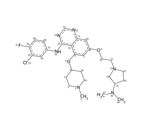 CN1CCC(Oc2cc(OCCN3CCC(N(C)C)C3)cc3ncnc(Nc4ccc(F)c(Cl)c4)c23)CC1